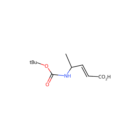 CC(C=CC(=O)O)NC(=O)OC(C)(C)C